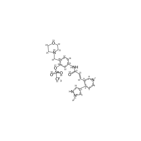 Cn1cc(-c2ccncc2/C=C/C(=O)Nc2ccc(CN3CCOCC3)c(OS(=O)(=O)C(F)(F)F)c2)cn1